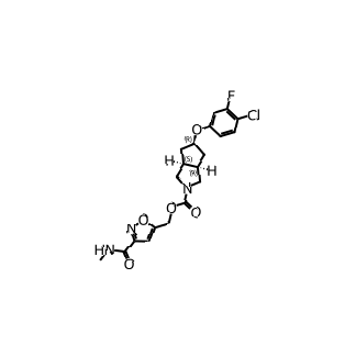 CNC(=O)c1cc(COC(=O)N2C[C@H]3C[C@@H](Oc4ccc(Cl)c(F)c4)C[C@H]3C2)on1